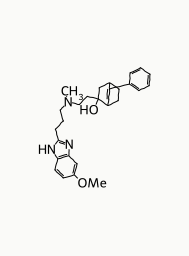 COc1ccc2[nH]c(CCCN(C)CCC3(O)CC4CCC3C=C4c3ccccc3)nc2c1